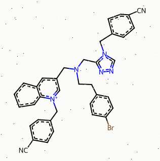 N#Cc1ccc(Cn2cnnc2CN(CCc2ccc(Br)cc2)Cc2cc3ccccc3[n+](Cc3ccc(C#N)cc3)c2)cc1